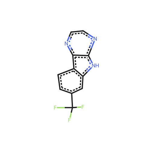 FC(F)(F)c1ccc2c(c1)[nH]c1nccnc12